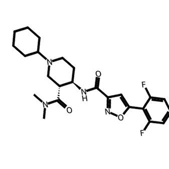 CN(C)C(=O)[C@@H]1CN(C2CCCCC2)CC[C@H]1NC(=O)c1cc(-c2c(F)cccc2F)on1